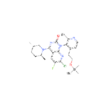 CC(C)c1nccc(CCO[Si](C)(C)C(C)(C)C)c1-n1c(=O)nc(N2C[C@@H](C)CC[C@@H]2C)c2cc(F)c(Cl)nc21